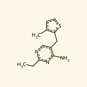 CCc1ncc(Cc2sccc2C)c(N)n1